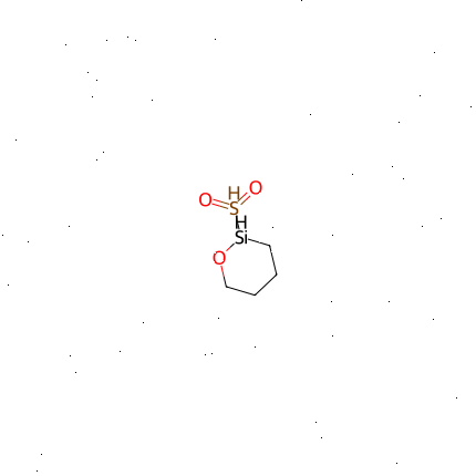 O=[SH](=O)[SiH]1CCCCO1